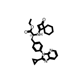 CCOC(=O)[C@H](Cc1ccc(-n2c(C3CC3)nc3cccnc32)cc1)NC1=CC(=O)C12CCCCC2